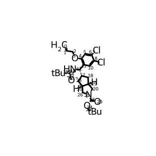 C=CCOc1cc(Cl)c(Cl)cc1C(N[S+]([O-])C(C)(C)C)[C@@H]1C[C@@H]2CN(C(=O)OC(C)(C)C)C[C@@H]2C1